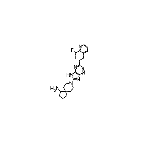 N[C@@H]1CCCC12CCN(c1nc3ncc(CCc4cccnc4C(F)I)nc3[nH]1)CC2